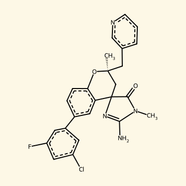 CN1C(=O)C2(C[C@](C)(Cc3cccnc3)Oc3ccc(-c4cc(F)cc(Cl)c4)cc32)N=C1N